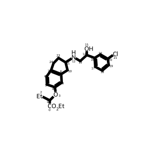 CCOC(=O)C(CC)Oc1ccc2c(c1)CC(NCC(O)c1cccc(Cl)c1)CC2